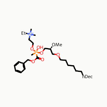 CCCCCCCCCCCCCCCCOC[C@@H](COP(C)(O)(OCC[N+](C)(C)CC)C(=O)OCc1ccccc1)OC